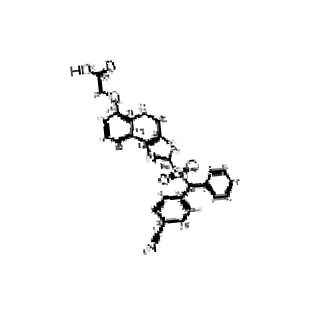 N#Cc1ccc(C(c2ccccc2)S(=O)(=O)c2nc3c(s2)CCc2c(OCC(=O)O)cccc2-3)cc1